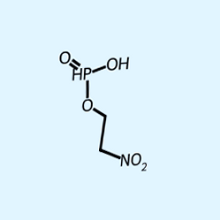 O=[N+]([O-])CCO[PH](=O)O